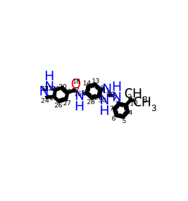 CC(C)c1ccccc1Nc1nc2ccc(NC(=O)C3=CC4NN=CC4C=C3)cc2[nH]1